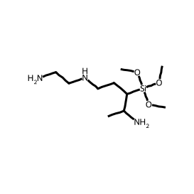 CO[Si](OC)(OC)C(CCNCCN)C(C)N